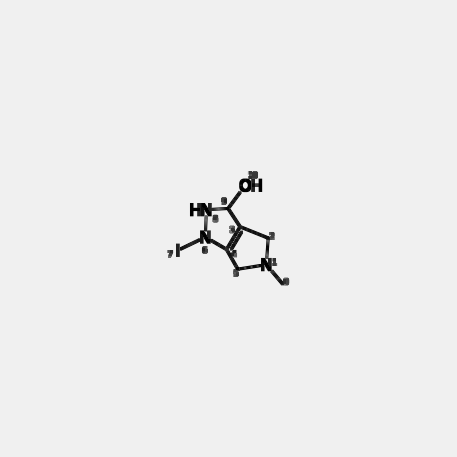 CN1CC2=C(C1)N(I)NC2O